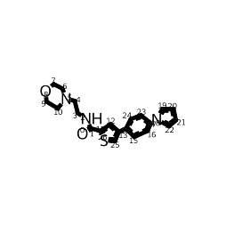 O=C(NCCN1CCOCC1)c1cc(-c2ccc(-n3cccc3)cc2)cs1